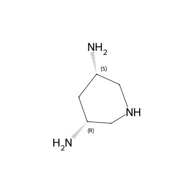 N[C@@H]1CNC[C@H](N)C1